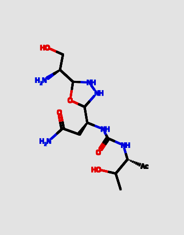 CC(=O)[C@@H](NC(=O)N[C@@H](CC(N)=O)C1NNC([C@@H](N)CO)O1)C(C)O